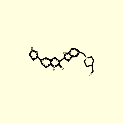 NCC1CCN(Cc2ccc3[nH]c(-c4cc5cc(-c6cc[nH]n6)ccc5[nH]c4=O)cc3c2)CC1